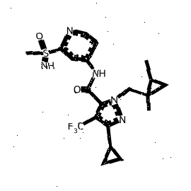 CC1CC1(C)Cn1nc(C2CC2)c(C(F)(F)F)c1C(=O)Nc1ccnc(S(C)(=N)=O)c1